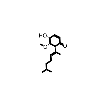 CO[C@@H]1[C@H](O)C=CC(=O)[C@H]1/C(C)=C/CCC(C)C